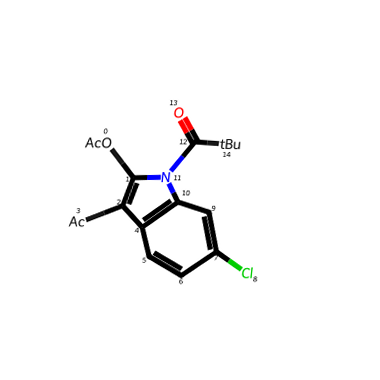 CC(=O)Oc1c(C(C)=O)c2ccc(Cl)cc2n1C(=O)C(C)(C)C